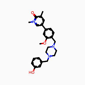 COc1cc(-c2cc(C)c(=O)n(C)c2)ccc1CN1CCN(Cc2cccc(O)c2)CC1